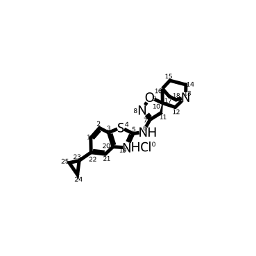 Cl.c1cc2sc(NC3=NO[C@@]4(C3)CN3CCC4CC3)nc2cc1C1CC1